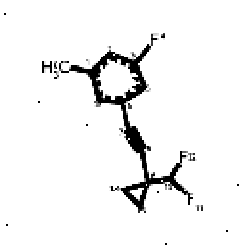 Cc1cc(F)cc(C#CC2(C(F)F)CC2)c1